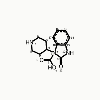 O=C(O)[N+]1(C2CCNCC2)C(=O)Nc2ccccc21